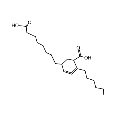 CCCCCCC1=C=CC(CCCCCCCC(=O)O)CC1C(=O)O